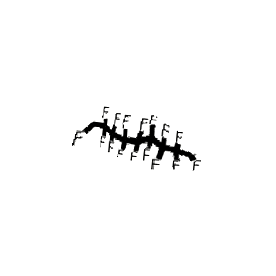 F[CH]C(F)(F)C(F)(F)C(F)(F)C(F)(F)C(F)(F)C(F)(F)C(F)(F)CF